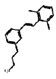 Cc1cccc(C)c1C=Cc1cccc(CCCN)c1